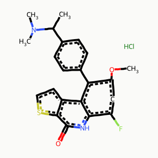 COc1cc(F)c2[nH]c(=O)c3sccc3c2c1-c1ccc(C(C)N(C)C)cc1.Cl